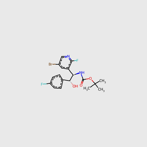 CC(C)(C)OC(=O)N[C@H](c1cc(Br)cnc1F)[C@H](O)c1ccc(F)cc1